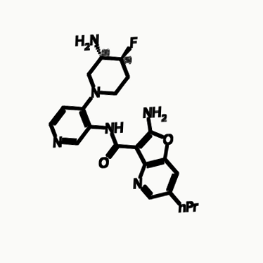 CCCc1cnc2c(C(=O)Nc3cnccc3N3CC[C@H](F)[C@@H](N)C3)c(N)oc2c1